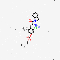 C=CCOC(=O)Oc1cc(C)c(CC(N)C(=O)N2CCc3ccccc32)c(Cl)c1